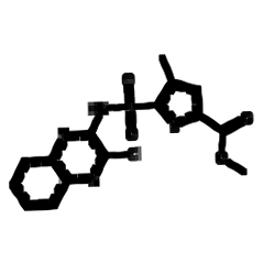 COC(=O)c1cc(C)c(S(=O)(=O)Nc2nc3ccccc3nc2Cl)s1